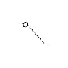 CCCCCCCCCCCCOc1cc(Br)c(O)cc1Br